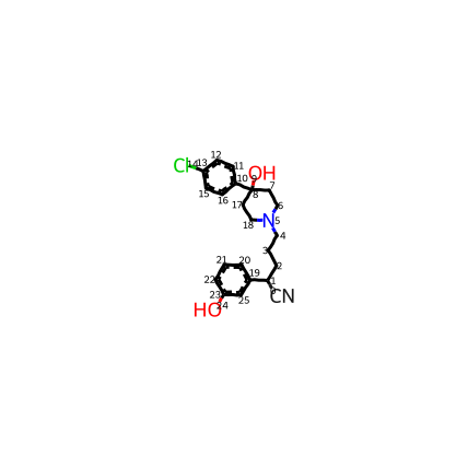 N#CC(CCCN1CCC(O)(c2ccc(Cl)cc2)CC1)c1cccc(O)c1